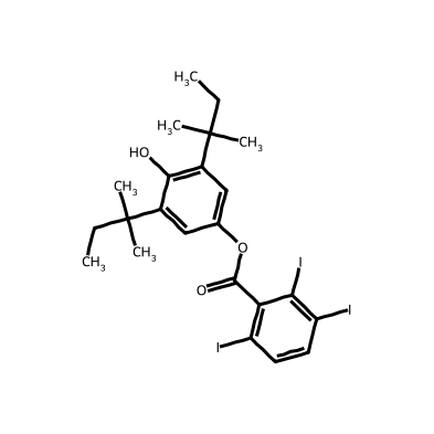 CCC(C)(C)c1cc(OC(=O)c2c(I)ccc(I)c2I)cc(C(C)(C)CC)c1O